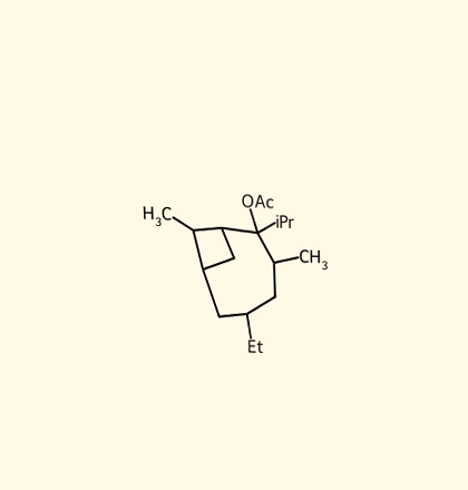 CCC1CC2CC(C2C)C(OC(C)=O)(C(C)C)C(C)C1